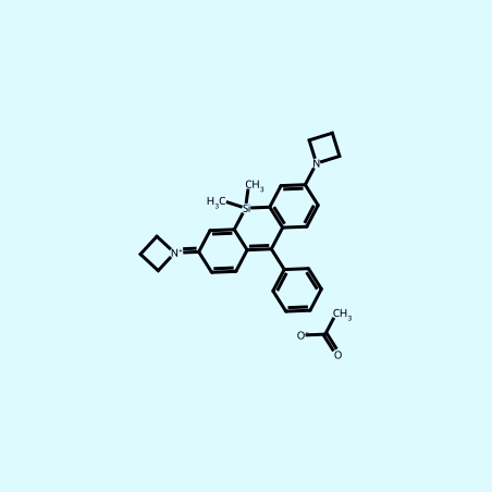 CC(=O)[O-].C[Si]1(C)C2=CC(=[N+]3CCC3)C=CC2=C(c2ccccc2)c2ccc(N3CCC3)cc21